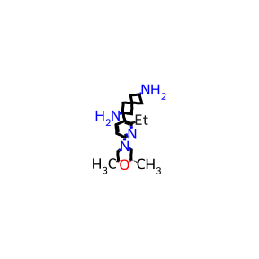 CCc1nc(N2C[C@@H](C)O[C@@H](C)C2)ccc1C1(N)CC2(CC(N)C2)C1